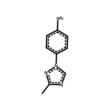 CCCc1ccc(-n2cnc(C)n2)cc1